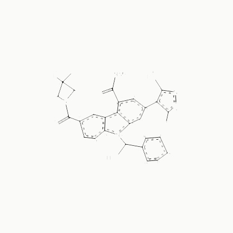 CNC(=O)c1cc(-c2c(C)noc2C)cc2c1c1cc(C(=O)N3CC(F)(F)C3)ccc1n2C(C)c1ccccc1